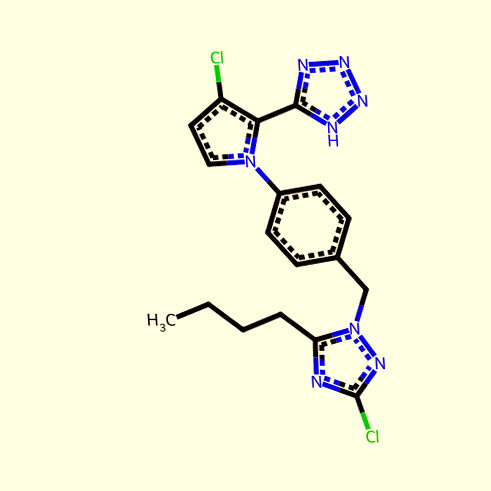 CCCCc1nc(Cl)nn1Cc1ccc(-n2ccc(Cl)c2-c2nnn[nH]2)cc1